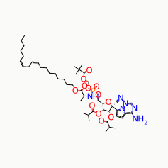 CCCCC/C=C\C/C=C\CCCCCCCCOC(=O)[C@H](C)NP(=O)(OCOC(=O)C(C)(C)C)OC[C@H]1O[C@@](C#N)(c2ccc3c(N)ncnn23)[C@H](OC(=O)C(C)C)[C@@H]1OC(=O)C(C)C